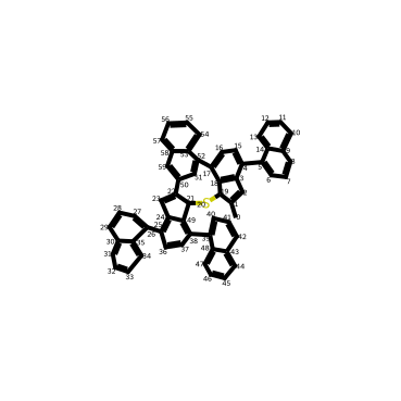 CC1=Cc2c(-c3cccc4ccccc34)ccc3c2C1SC1C(=Cc2c(-c4cccc5ccccc45)ccc(-c4cccc5ccccc45)c21)c1cc-3c2ccccc2c1